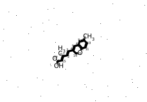 CC(/C=C/C1=Cc2cc(C)ccc2OC1)=C\C(=O)O